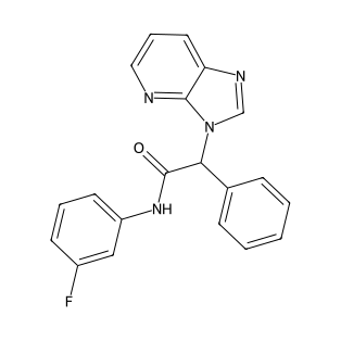 O=C(Nc1cccc(F)c1)C(c1ccccc1)n1cnc2cccnc21